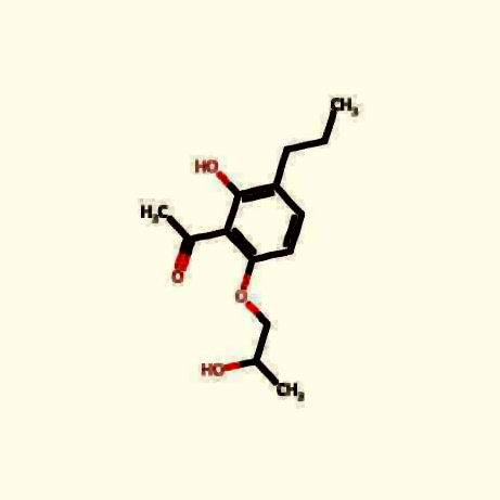 CCCc1ccc(OCC(C)O)c(C(C)=O)c1O